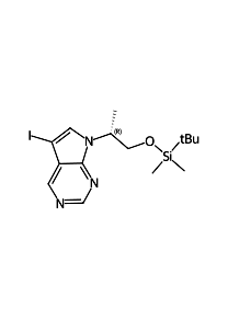 C[C@H](CO[Si](C)(C)C(C)(C)C)n1cc(I)c2cncnc21